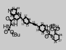 CC(C)(C)OC(=O)NNC(=O)c1cc(-c2ccc(C#Cc3ccc(NC(=O)N4CCCCC4C(=O)OC(C)(C)C)cc3)cc2)nc2ccncc12